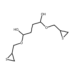 OC(CCC(O)OCC1CS1)OCC1CS1